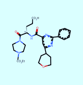 CCOC(=O)N1CCN(C(=O)[C@H](CCC(=O)O)NC(=O)c2cc(C3CCOCC3)nc(-c3ccccc3)n2)CC1